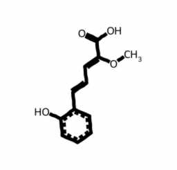 COC(=CC=Cc1ccccc1O)C(=O)O